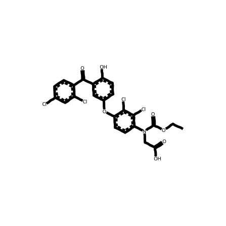 CCOC(=O)N(CC(=O)O)c1ccc(Oc2ccc(O)c(C(=O)c3ccc(Cl)cc3Cl)c2)c(Cl)c1Cl